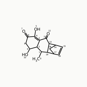 CC1C2C(=C(O)C(=O)CC2O)C(=O)C2C3C=CC(C3)C12